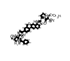 COC[C@@H]1CN[C@](C(=O)[C@H](N)c2ccccc2)(c2ncc(-c3ccc4c(c3)COc3cc5c(ccc6nc([C@@H]7CCCN7C(=O)[C@@H](NC(=O)O)C(C)C)[nH]c65)cc3-4)[nH]2)C1